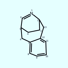 C1=NC2CCC1Cc1ccccc1C2